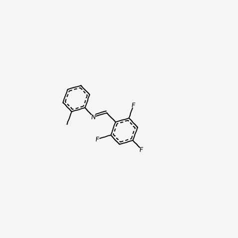 Cc1ccccc1N=Cc1c(F)cc(F)cc1F